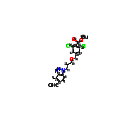 Cc1c(C=O)ccc2c1nnn2CCCOCc1cc(Cl)c(C(=O)OC(C)(C)C)c(Cl)c1